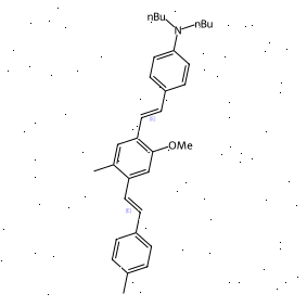 CCCCN(CCCC)c1ccc(/C=C/c2cc(C)c(/C=C/c3ccc(C)cc3)cc2OC)cc1